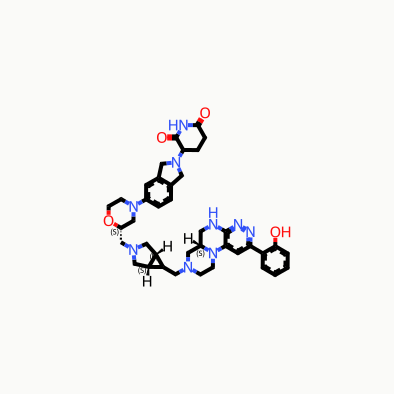 O=C1CCC(N2Cc3ccc(N4CCO[C@@H](CN5C[C@@H]6C(CN7CCN8c9cc(-c%10ccccc%10O)nnc9NC[C@H]8C7)[C@@H]6C5)C4)cc3C2)C(=O)N1